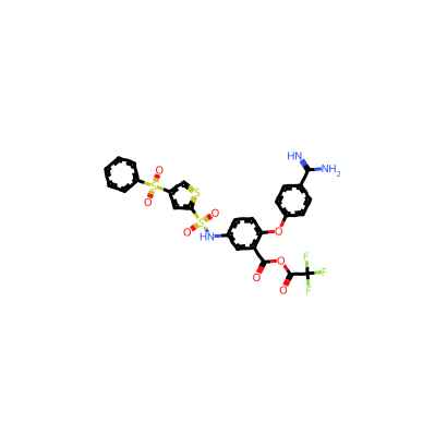 N=C(N)c1ccc(Oc2ccc(NS(=O)(=O)c3cc(S(=O)(=O)c4ccccc4)cs3)cc2C(=O)OC(=O)C(F)(F)F)cc1